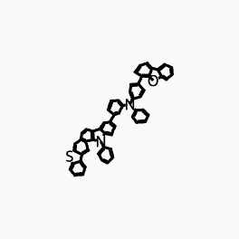 c1ccc(N(c2ccc(-c3cccc4c3oc3ccccc34)cc2)c2cccc(-c3ccc4c(c3)c3ccc5cc6sc7ccccc7c6cc5c3n4-c3ccccc3)c2)cc1